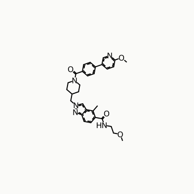 COCCNC(=O)c1ccc2nn(CC3CCN(C(=O)c4ccc(-c5ccc(OC)nc5)cc4)CC3)cc2c1C